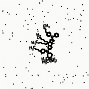 C=CCCc1ccc(N(C2=CC=CC(C)(C(C)(C)C)C=C2)c2ccc3c(c2)C(CCCCCC)(CCCCCC)c2cc(N(c4ccccc4)c4ccc(CCC=C)cc4)ccc2-3)cc1